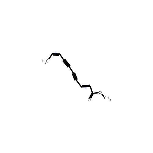 C/C=C\C#CC#C/C=C/C(=O)OC